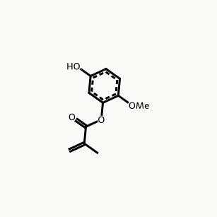 C=C(C)C(=O)Oc1cc(O)ccc1OC